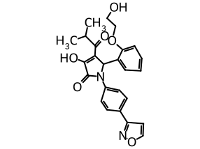 CC(C)C(=O)C1=C(O)C(=O)N(c2ccc(-c3ccon3)cc2)C1c1ccccc1OCCO